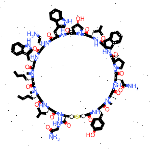 CCCC[C@H]1C(=O)N(C)[C@@H](CCCC)C(=O)N[C@@H](CC(C)C)C(=O)N[C@H](C(=O)NCC(N)=O)CSCC(=O)N[C@@H](Cc2ccc(O)cc2)C(=O)N(C)[C@@H](C)C(=O)N[C@@H](CC(N)=O)C(=O)N2CCC[C@H]2C(=O)NC2(Cc3ccccc3C2)C(=O)N[C@@H](CC(C)C)C(=O)N2C[C@H](O)C[C@H]2C(=O)NC(Cc2c[nH]c3ccccc23)C(=O)N[C@@H](CCN)C(=O)N[C@@H](Cc2c[nH]c3ccccc23)C(=O)N1C